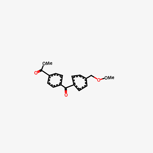 COOCc1ccc(C(=O)c2ccc(C(=O)OC)cc2)cc1